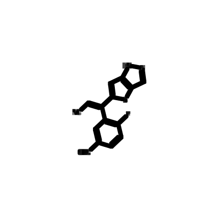 N#CC=C(c1cc2[nH]ncc2s1)c1cc(C=O)ccc1F